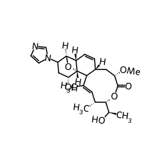 CO[C@H]1C[C@H]2C=C[C@@H]3[C@H]4[C@H](O)CC(n5ccnc5)[C@@H]3O[C@]42/C(C)=C/[C@@H](C)[C@@H]([C@@H](C)O)OC1=O